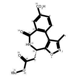 Cc1noc2c1-c1ccc(C(=O)O)cc1C(=O)N[C@H]2CC(=O)OC(C)(C)C